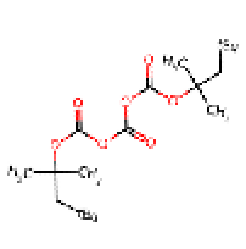 CC(C)(C)CC(C)(C)OC(=O)OC(=O)OC(=O)OC(C)(C)CC(C)(C)C